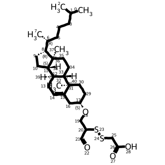 CC(C)CCC[C@@H](C)[C@H]1CC[C@H]2[C@@H]3CC=C4C[C@@H](OCC(C=O)SSCC(=O)O)CC[C@]4(C)[C@H]3CC[C@]12C